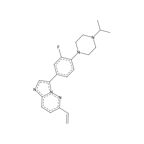 C=Cc1ccc2ncc(-c3ccc(N4CCN(C(C)C)CC4)c(F)c3)n2n1